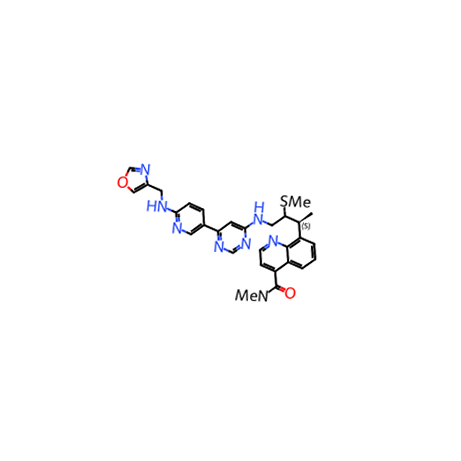 CNC(=O)c1ccnc2c([C@H](C)C(CNc3cc(-c4ccc(NCc5cocn5)nc4)ncn3)SC)cccc12